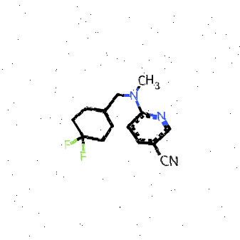 CN(CC1CCC(F)(F)CC1)c1ccc(C#N)cn1